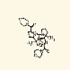 C[C@@]1(c2csc(C(=O)N3CCOCC3)n2)CCCN1C(=O)N1CCC[C@@]1(C)c1csc(C(=O)N2CCOCC2)n1